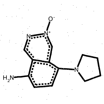 Nc1ccc(N2CCCC2)c2c[n+]([O-])ncc12